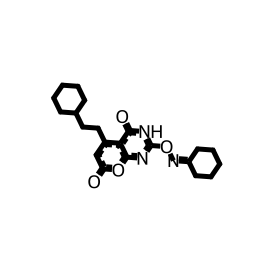 O=c1cc(CCC2CCCCC2)c2c(=O)[nH]c(ON=C3CCCCC3)nc2o1